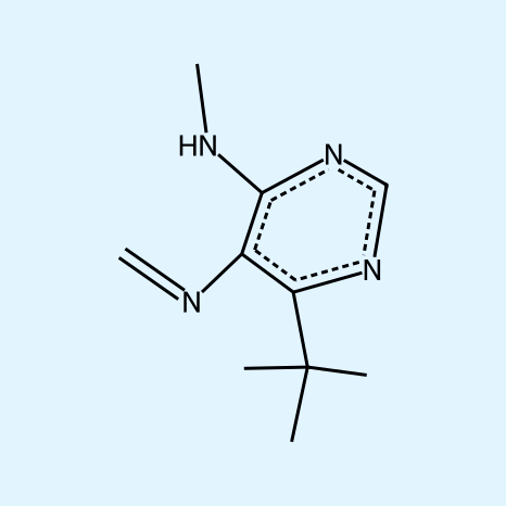 C=Nc1c(NC)ncnc1C(C)(C)C